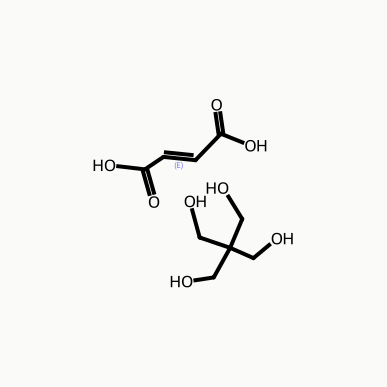 O=C(O)/C=C/C(=O)O.OCC(CO)(CO)CO